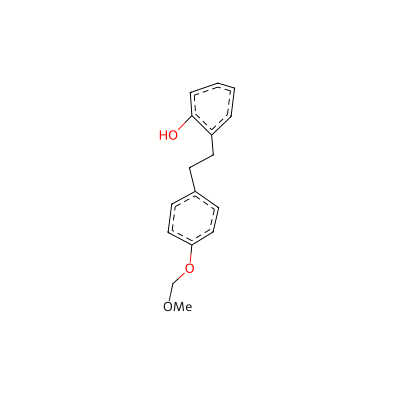 COCOc1ccc(CCc2ccccc2O)cc1